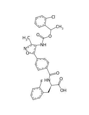 Cc1noc(-c2ccc(C(=O)N[C@H](Cc3ccccc3F)C(=O)O)cc2)c1NC(=O)OC(C)c1ccccc1Cl